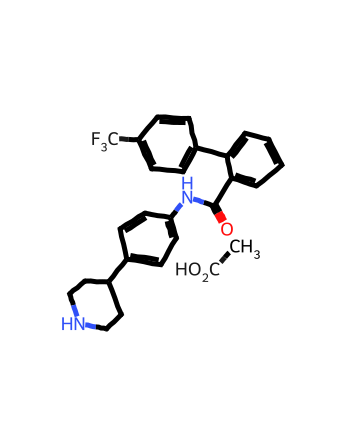 CC(=O)O.O=C(Nc1ccc(C2CCNCC2)cc1)c1ccccc1-c1ccc(C(F)(F)F)cc1